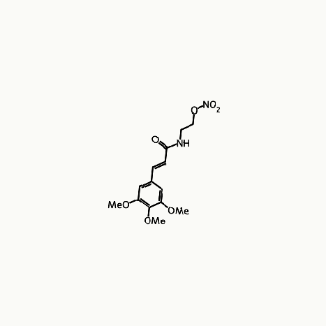 COc1cc(C=CC(=O)NCCO[N+](=O)[O-])cc(OC)c1OC